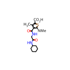 CNc1sc(C(=O)O)c(C)c1C(=O)NCC(=O)NC1CCCCC1